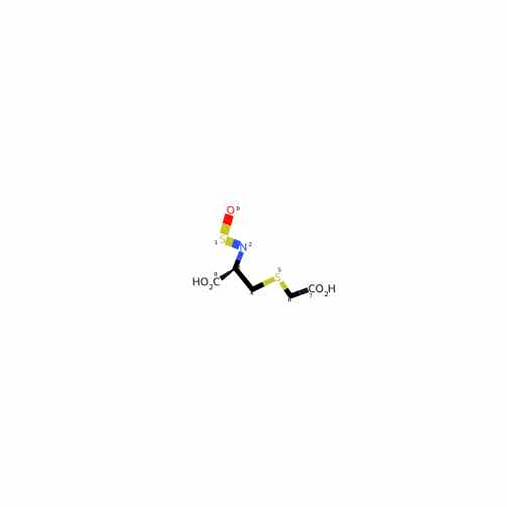 O=S=N[C@@H](CSCC(=O)O)C(=O)O